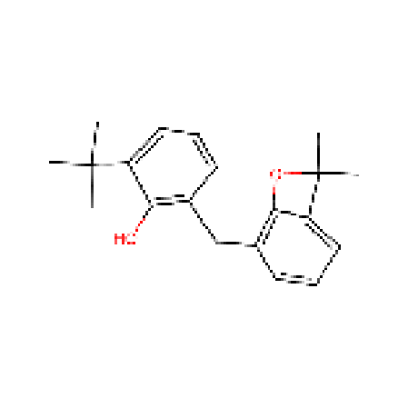 CC(C)(C)c1cccc(Cc2cccc3c2OC3(C)C)c1O